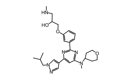 CNCC(O)COc1cccc(-c2nc(-c3cnn(CC(C)C)c3)cc(N(C)C3CCOCC3)n2)c1